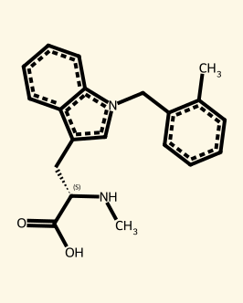 CN[C@@H](Cc1cn(Cc2ccccc2C)c2ccccc12)C(=O)O